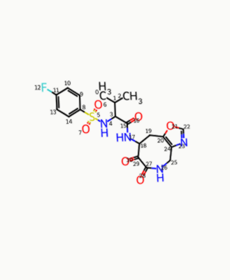 CC(C)C(NS(=O)(=O)c1ccc(F)cc1)C(=O)NC1Cc2ocnc2CNC(=O)C1=O